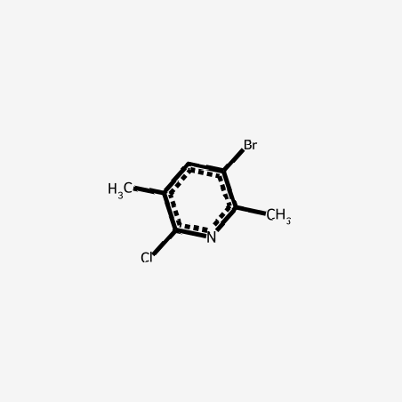 Cc1cc(Br)c(C)nc1Cl